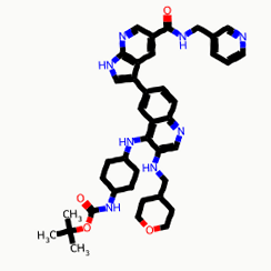 CC(C)(C)OC(=O)NC1CCC(Nc2c(NCC3CCOCC3)cnc3ccc(-c4c[nH]c5ncc(C(=O)NCc6cccnc6)cc45)cc23)CC1